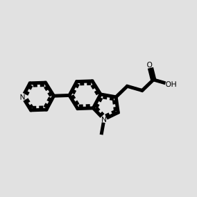 Cn1cc(CCC(=O)O)c2ccc(-c3ccncc3)cc21